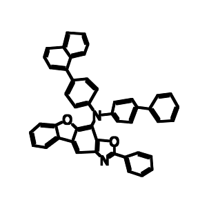 c1ccc(-c2ccc(N(c3ccc(-c4cccc5ccccc45)cc3)c3c4oc(-c5ccccc5)nc4cc4c3oc3ccccc34)cc2)cc1